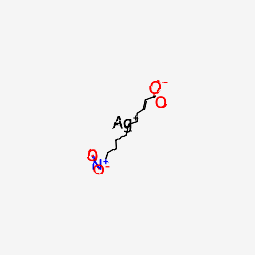 O=C([O-])C=CCCCCCCCC[N+](=O)[O-].[Ag+]